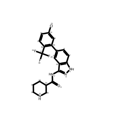 O=C(Nc1n[nH]c2ccc(-c3cc(Cl)ccc3C(F)(F)F)cc12)C1CCCNC1